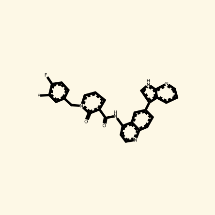 O=C(Nc1ccnc2ccc(-c3c[nH]c4ncccc34)cc12)c1cccn(Cc2ccc(F)c(F)c2)c1=O